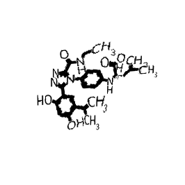 CCNC(=O)c1nnc(-c2cc(C(C)C)c(O)cc2O)n1-c1ccc(N[C@@H](CC(C)C)C(=O)O)cc1